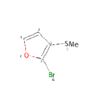 CSc1ccoc1Br